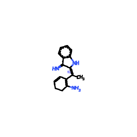 C/C(C1=C(N)CCC=C1)=C1\Nc2ccccc2C1=N